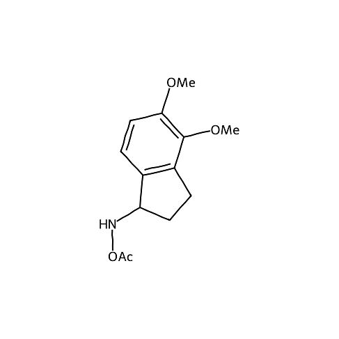 COc1ccc2c(c1OC)CCC2NOC(C)=O